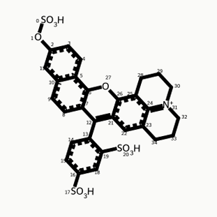 O=S(=O)(O)Oc1ccc2c3c(ccc2c1)C(c1ccc(S(=O)(=O)O)cc1S(=O)(=O)O)=c1cc2c4c(c1O3)CCC[N+]=4CCC2